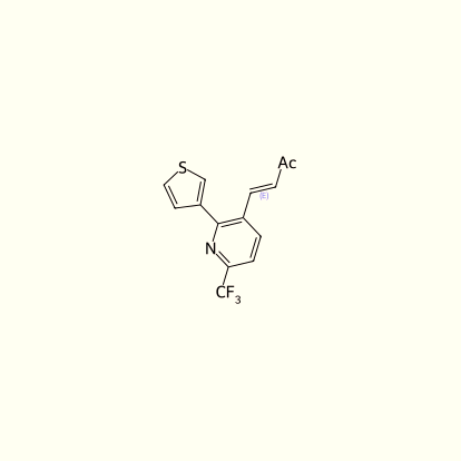 CC(=O)/C=C/c1ccc(C(F)(F)F)nc1-c1ccsc1